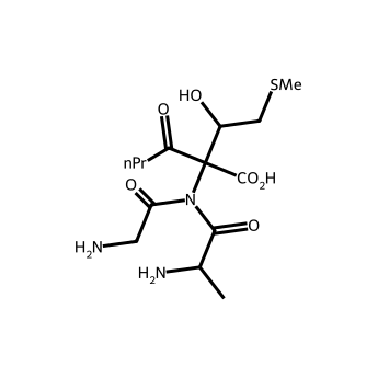 CCCC(=O)C(C(=O)O)(C(O)CSC)N(C(=O)CN)C(=O)C(C)N